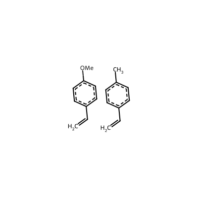 C=Cc1ccc(C)cc1.C=Cc1ccc(OC)cc1